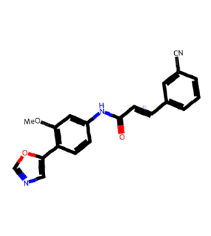 COc1cc(NC(=O)/C=C/c2cccc(C#N)c2)ccc1-c1cnco1